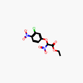 CCOC(=O)C(Oc1ccc([N+](=O)[O-])c(Cl)c1)[N+](=O)[O-]